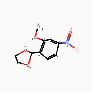 COc1cc([N+](=O)[O-])ccc1C1OCCO1